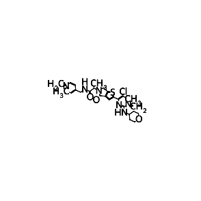 C=N/C=C\C(=C/C)CNC(=O)[C@@H](C)N1Cc2sc(C(/N=C(\N=C)NC3CCOCC3)=C(/C)Cl)cc2C1=O